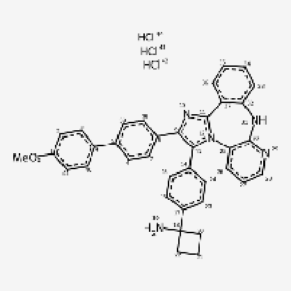 COc1ccc(-c2ccc(-c3nc4n(c3-c3ccc(C5(N)CCC5)cc3)-c3cccnc3Nc3ccccc3-4)cc2)cc1.Cl.Cl.Cl